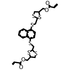 C=CC(=O)OCC1CSC(CSc2ccc(SCC3SCC(COC(=O)C=C)S3)c3ccccc23)S1